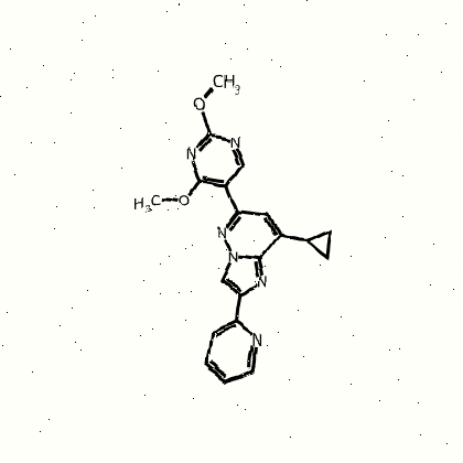 COc1ncc(-c2cc(C3CC3)c3nc(-c4ccccn4)cn3n2)c(OC)n1